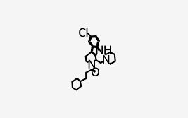 O=C(CCC1CCCCC1)N1CCc2c([nH]c3ccc(Cl)cc23)C1CN1CCCCC1